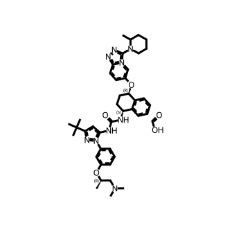 CC1CCCCN1c1nnc2ccc(O[C@@H]3CC[C@H](NC(=O)Nc4cc(C(C)(C)C)nn4-c4cccc(O[C@H](C)CN(C)C)c4)c4ccccc43)cn12.O=CO